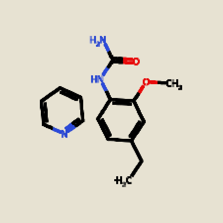 [CH2]Cc1ccc(NC(N)=O)c(OC)c1.c1ccncc1